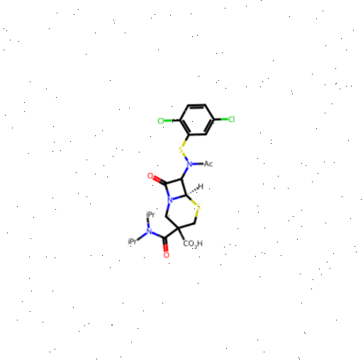 CC(=O)N(Sc1cc(Cl)ccc1Cl)C1C(=O)N2CC(C(=O)O)(C(=O)N(C(C)C)C(C)C)CS[C@H]12